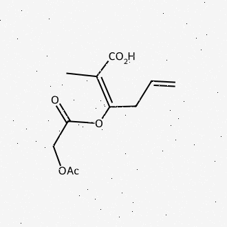 C=CCC(OC(=O)COC(C)=O)=C(C)C(=O)O